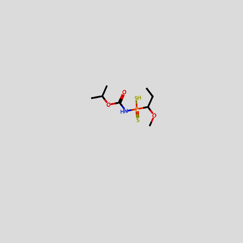 CCC(OC)P(=S)(S)NC(=O)OC(C)C